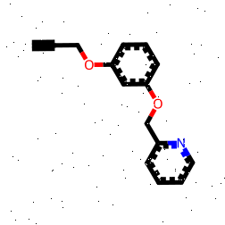 C#CCOc1cccc(OCc2ccccn2)c1